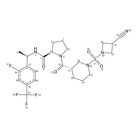 C[C@@H](NC(=O)[C@H]1CCCN1C(=O)[C@H]1CCCN(S(=O)(=O)N2CC(C#N)C2)C1)c1ccc(C(F)(F)F)cc1F